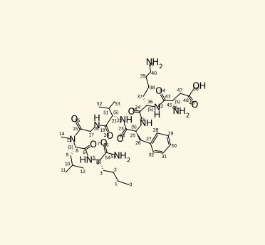 CCCC[C@H](NC(=O)[C@H](CC(C)C)N(C)C(=O)CNC(=O)[C@@H](NC(=O)[C@H](Cc1ccccc1)NC(=O)[C@H](CCCCN)NC(=O)[C@@H](N)CC(=O)O)C(C)C)C(N)=O